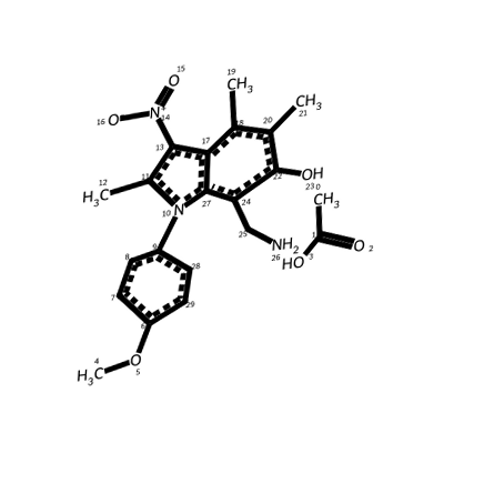 CC(=O)O.COc1ccc(-n2c(C)c([N+](=O)[O-])c3c(C)c(C)c(O)c(CN)c32)cc1